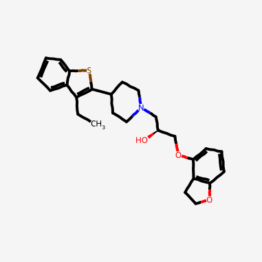 CCc1c(C2CCN(C[C@H](O)COc3cccc4c3CCO4)CC2)sc2ccccc12